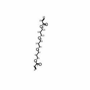 C=CC(=O)OCCCOCCCOCCCOC(=O)C=C